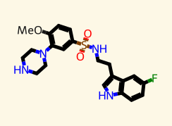 COc1ccc(S(=O)(=O)NCCc2c[nH]c3ccc(F)cc23)cc1N1CCNCC1